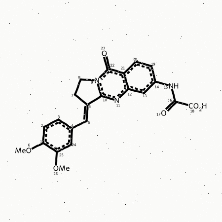 COc1ccc(C=C2CCn3c2nc2cc(NC(=O)C(=O)O)ccc2c3=O)cc1OC